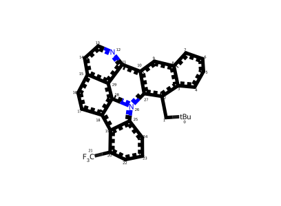 CC(C)(C)Cc1c2ccccc2cc2c3nccc4ccc5c6c(C(F)(F)F)cccc6n(c12)c5c43